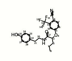 CCCC(Oc1ccc(C#N)c(C(F)(F)F)c1)C(=O)NCCc1ccc(O)cc1